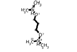 C[SiH](C)OCCCO[SiH](C)C